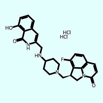 Cl.Cl.O=c1[nH]c(CNC2CCN(C[C@@H]3Cn4c(=O)ccc5ccc(F)c3c54)CC2)cc2cccc(O)c12